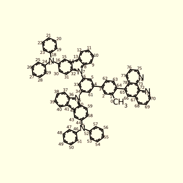 Cc1cc(-c2cc(-n3c4ccccc4c4cc(N(c5ccccc5)c5ccccc5)ccc43)cc(-n3c4ccccc4c4cc(N(c5ccccc5)c5ccccc5)ccc43)c2)ccc1-c1cc2cccnc2c2ncccc12